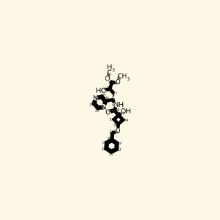 COC(OC)C(O)C[C@H](NC(=O)C1(O)CC(OCc2ccccc2)C1)c1cnccn1